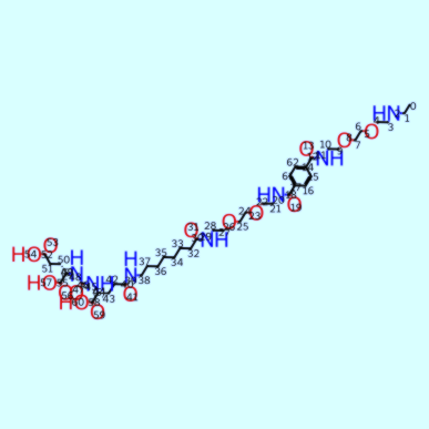 CCNCCOCCOCCNC(=O)c1ccc(C(=O)NCCOCCOCCNC(=O)CCCCCCCNC(=O)CC[C@H](NC(=O)N[C@@H](CCC(=O)O)C(=O)O)C(=O)O)cc1